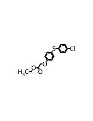 CCOC(=O)COc1ccc(Sc2ccc(Cl)cc2)cc1